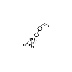 C#CC[C@H](NC(=O)c1ccc(-c2ccc(CC)cc2)cc1)C(=O)NO